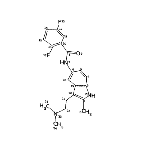 Cc1[nH]c2ccc(NC(=O)c3cc(F)ccc3F)cc2c1CCN(C)C